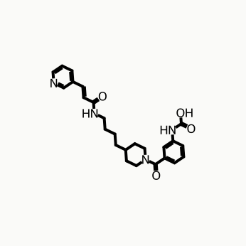 O=C(O)Nc1cccc(C(=O)N2CCC(CCCCNC(=O)C=Cc3cccnc3)CC2)c1